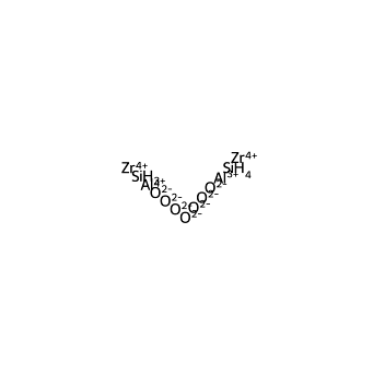 [Al+3].[Al+3].[O-2].[O-2].[O-2].[O-2].[O-2].[O-2].[O-2].[SiH4].[SiH4].[Zr+4].[Zr+4]